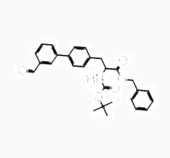 CC(C)(C)OC(=O)NC(Cc1ccc(-c2cccc(C=O)c2)cc1)C(=O)OCc1ccccc1